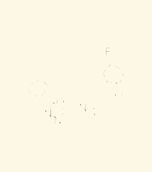 O=C(NCc1nnc(-c2ccccc2)o1)C1C2Oc3ccc(F)cc3C21